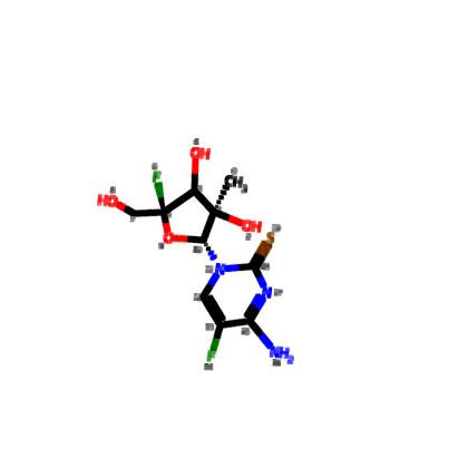 C[C@@]1(O)C(O)[C@@](F)(CO)O[C@H]1n1cc(F)c(N)nc1=S